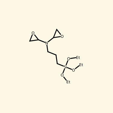 CCO[Si](CCCN(C1CO1)C1CO1)(OCC)OCC